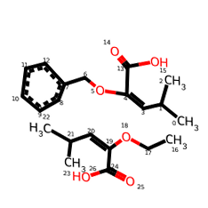 CC(C)C=C(OCc1ccccc1)C(=O)O.CCOC(=CC(C)C)C(=O)O